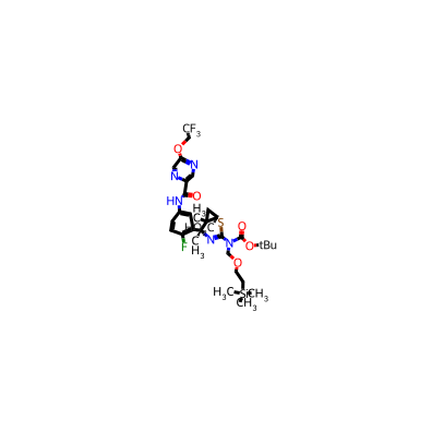 CC(C)(C)OC(=O)N(COCC[Si](C)(C)C)C1=N[C@](C)(c2cc(NC(=O)c3cnc(OCC(F)(F)F)cn3)ccc2F)C2(C)C[C@]2(C(=O)O)S1